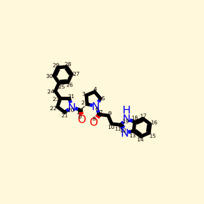 O=C([C@@H]1CCCN1C(=O)CCc1nc2ccccc2[nH]1)N1CCC(Cc2ccccc2)C1